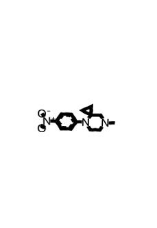 CN1CCN(c2ccc([N+](=O)[O-])cc2)C2(CC2)C1